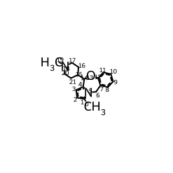 Cc1ccc2n1Cc1ccccc1OC2C1CCN(C)CC1